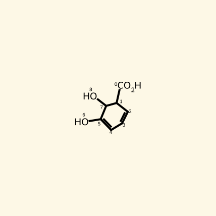 O=C(O)C1C=CC=C(O)C1O